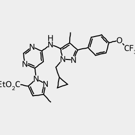 CCOC(=O)c1cc(C)nn1-c1cc(Nc2c(C)c(-c3ccc(OC(F)(F)F)cc3)nn2CC2CC2)ncn1